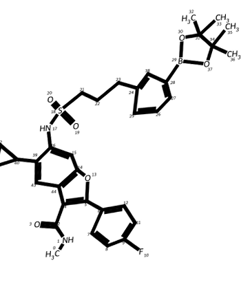 CNC(=O)c1c(-c2ccc(F)cc2)oc2cc(NS(=O)(=O)CCCc3cccc(B4OC(C)(C)C(C)(C)O4)c3)c(C3CC3)cc12